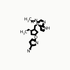 C=N/N=c1/cnc2[nH]ccc2n1CC1CC(Oc2ccc(C#N)cn2)C[C@H]1CC